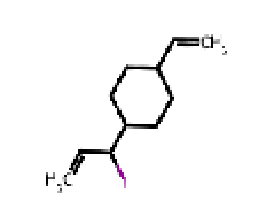 C=CC1CCC(C(I)C=C)CC1